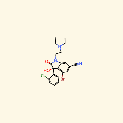 CCN(CC)CCN1C(=O)C(O)(c2ccccc2Cl)c2c(Br)cc(C#N)cc21